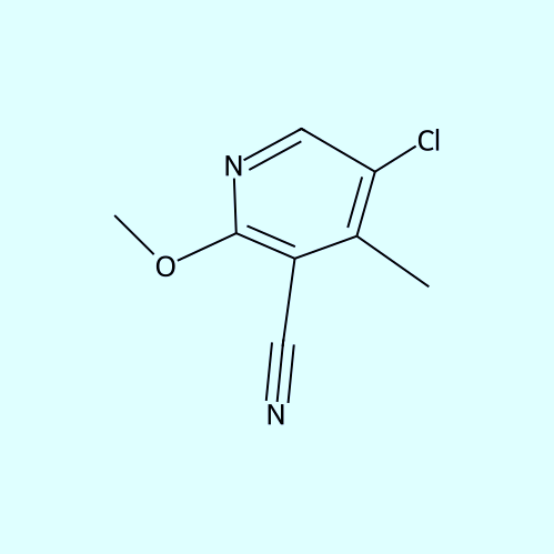 COc1ncc(Cl)c(C)c1C#N